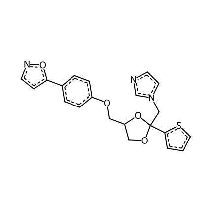 c1csc(C2(Cn3ccnc3)OCC(COc3ccc(-c4ccno4)cc3)O2)c1